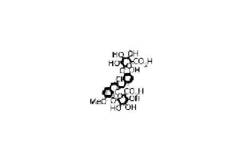 COc1ccc(C[C@H](C)[C@H](C)Cc2ccc(O)c(O[C@@H]3O[C@H](C(=O)O)[C@@H](O)[C@H](O)[C@H]3O)c2)cc1O[C@@H]1O[C@H](C(=O)O)[C@@H](O)[C@H](O)[C@H]1O